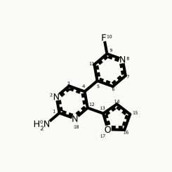 Nc1ncc(-c2ccnc(F)c2)c(-c2ccco2)n1